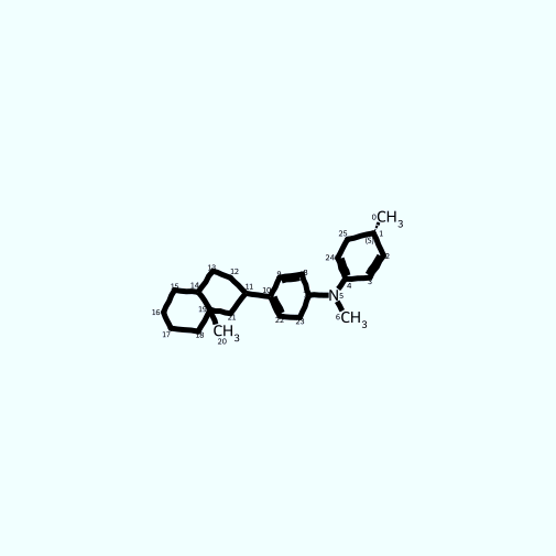 C[C@@H]1C=CC(N(C)C2C=CC(C3CCC4CCCCC4(C)C3)=CC2)=CC1